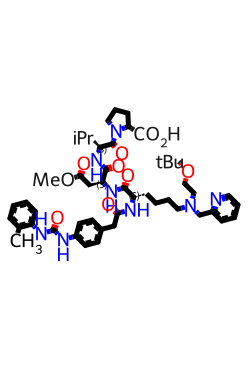 COC(=O)C[C@H](NC(=O)[C@H](CCCCN(CCOC(C)(C)C)Cc1ccccn1)NC(=O)Cc1ccc(NC(=O)Nc2ccccc2C)cc1)C(=O)N[C@H](C(=O)N1CCCC1C(=O)O)C(C)C